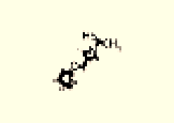 CC(S)N1CC(COc2ccccn2)C1